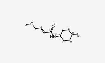 COC/C=C/C(=O)N[C@H]1CC[C@@H](C)CC1